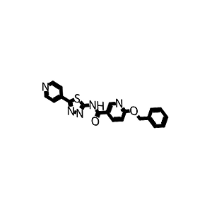 O=C(Nc1nnc(-c2ccncc2)s1)c1ccc(OCc2ccccc2)nc1